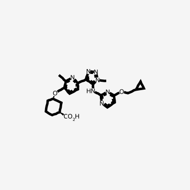 Cc1nc(-c2nnn(C)c2Nc2nccc(OCC3CC3)n2)ccc1O[C@H]1CCC[C@H](C(=O)O)C1